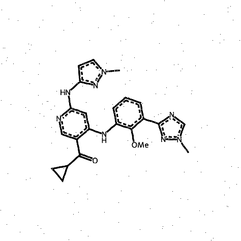 COc1c(Nc2cc(Nc3ccn(C)n3)ncc2C(=O)C2CC2)cccc1-c1ncn(C)n1